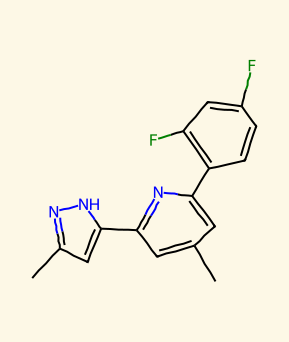 Cc1cc(-c2cc(C)n[nH]2)nc(-c2ccc(F)cc2F)c1